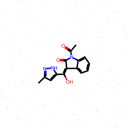 CC(=O)N1C(=O)C(=C(O)c2cc(C)n[nH]2)c2ccccc21